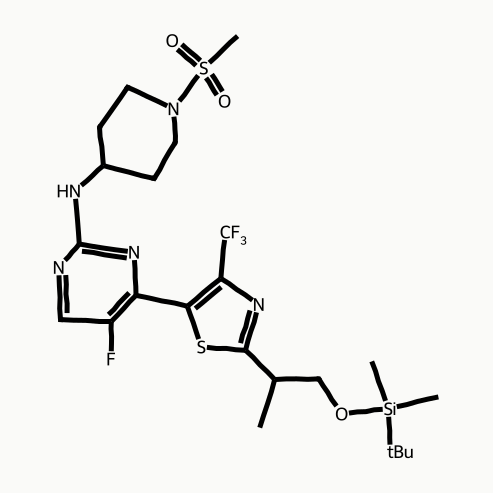 CC(CO[Si](C)(C)C(C)(C)C)c1nc(C(F)(F)F)c(-c2nc(NC3CCN(S(C)(=O)=O)CC3)ncc2F)s1